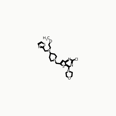 COCCN(Cc1nccs1)C1CCN(Cc2cc3nc(Cl)nc(N4CCOCC4)c3s2)CC1